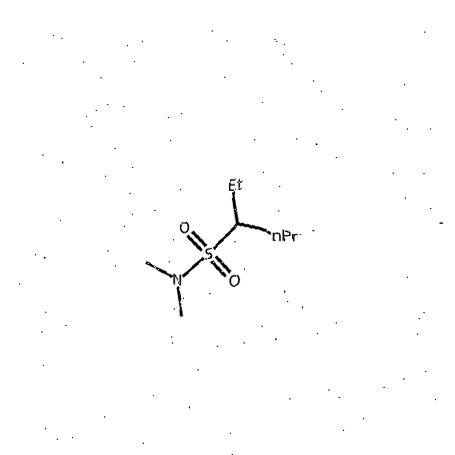 CCCC(CC)S(=O)(=O)N(C)C